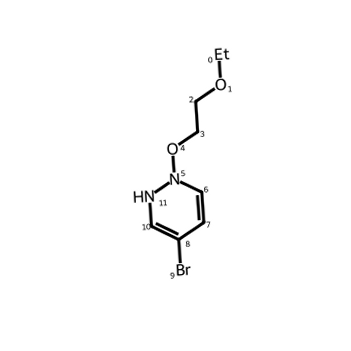 CCOCCON1C=CC(Br)=CN1